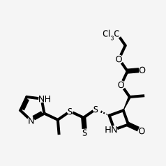 CC(SC(=S)S[C@H]1NC(=O)[C@@H]1C(C)OC(=O)OCC(Cl)(Cl)Cl)c1ncc[nH]1